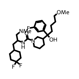 CNCC(CC1CCC(F)(F)CC1)NC(=O)N1CCCC(C(O)(CCCCOC)c2cccc(F)c2)C1